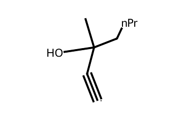 [C]#CC(C)(O)CCCC